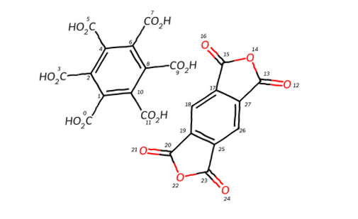 O=C(O)c1c(C(=O)O)c(C(=O)O)c(C(=O)O)c(C(=O)O)c1C(=O)O.O=c1oc(=O)c2cc3c(=O)oc(=O)c3cc12